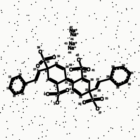 O=S(=O)([O-])C1=CC(C=Cc2ccccc2)(S(=O)(=O)[O-])C=CC1=C1C=CC(C=Cc2ccccc2)(S(=O)(=O)[O-])C=C1S(=O)(=O)[O-].[Na+].[Na+].[Na+].[Na+]